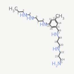 CCCNCNCCCNc1cc(C)cc(CNCCCNCCCN)c1